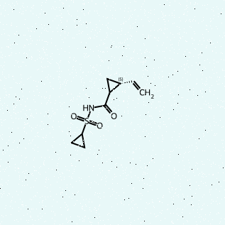 C=C[C@H]1C[C]1C(=O)NS(=O)(=O)C1CC1